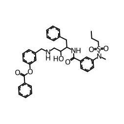 CCCS(=O)(=O)N(C)c1cccc(C(=O)NC(Cc2ccccc2)C(O)CNCc2cccc(OC(=O)c3ccccc3)c2)c1